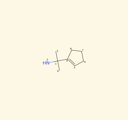 CC(C)([NH])C1=CCCC1